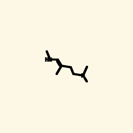 CN/C=C(\C)CCN(C)C